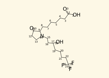 O=C(O)CCCCCCC1C(=O)CCN1CCC(O)CCCCC(F)(F)F